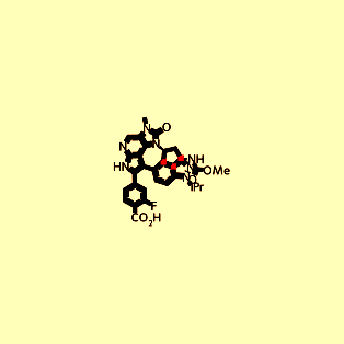 COC(=O)N[C@@H]1CC[C@@H](n2c(=O)n(C)c3cnc4[nH]c(-c5ccc(C(=O)O)c(F)c5)c(-c5ccc6c(cnn6C(C)C)c5)c4c32)C1